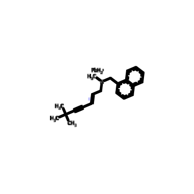 CN(C/C=C/C#CC(C)(C)C)Cc1cccc2ccccc12.[PbH2]